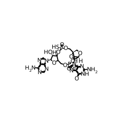 Nc1nc2c(ncn2[C@@H]2O[C@@]34CO[C@@H]2[C@@H]3O[P@](=O)(S)OCC2O[C@@H](n3cnc5c(N)ncnc53)[C@H](O)[C@@H]2O[P@](=O)(S)OC4)c(=O)[nH]1